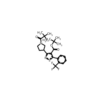 CC(C)(C)OC(=O)c1c(C2CCN(C(=O)C(C)(C)C)C2)nsc1-c1ccccc1C(F)(F)F